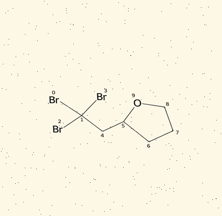 BrC(Br)(Br)CC1CCCO1